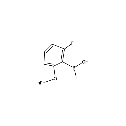 CCCOc1cccc(F)c1B(C)O